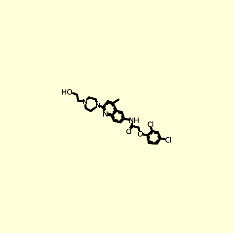 Cc1cc(N2CCN(CCO)CC2)nc2ccc(NC(=O)COc3ccc(Cl)cc3Cl)cc12